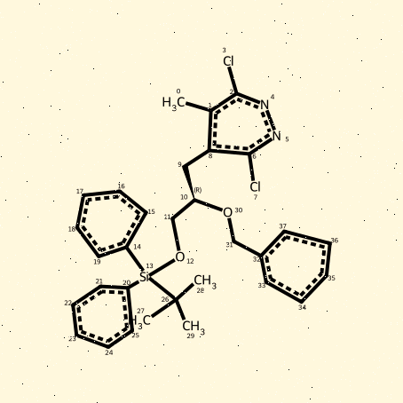 Cc1c(Cl)nnc(Cl)c1C[C@H](CO[Si](c1ccccc1)(c1ccccc1)C(C)(C)C)OCc1ccccc1